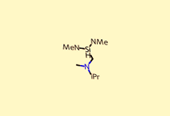 CN[SiH](CN(C)C(C)C)NC